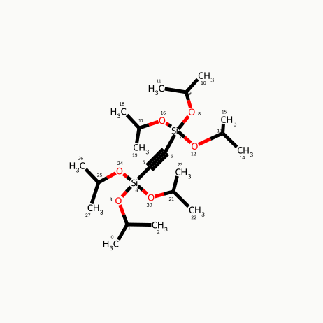 CC(C)O[Si](C#C[Si](OC(C)C)(OC(C)C)OC(C)C)(OC(C)C)OC(C)C